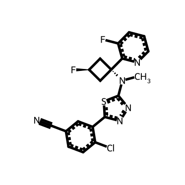 CN(c1nnc(-c2cc(C#N)ccc2Cl)s1)[C@]1(c2ncccc2F)C[C@@H](F)C1